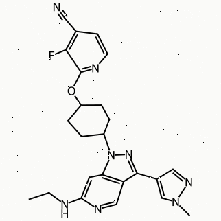 CCNc1cc2c(cn1)c(-c1cnn(C)c1)nn2C1CCC(Oc2nccc(C#N)c2F)CC1